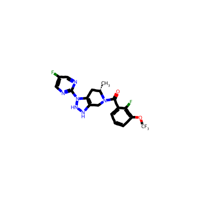 C[C@H]1CC2=C(CN1C(=O)c1cccc(OC(F)(F)F)c1F)NNN2c1ncc(F)cn1